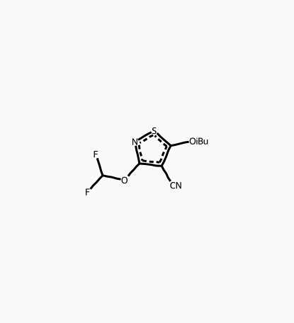 CC(C)COc1snc(OC(F)F)c1C#N